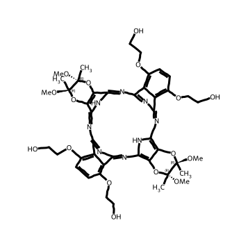 CO[C@]1(C)Oc2c(c3nc4nc(nc5[nH]c(nc6nc(nc2[nH]3)-c2c(OCCO)ccc(OCCO)c2-6)c2c5O[C@@](C)(OC)[C@](C)(OC)O2)-c2c(OCCO)ccc(OCCO)c2-4)O[C@@]1(C)OC